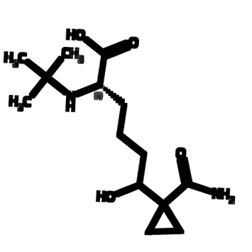 CC(C)(C)N[C@@H](CCCC(O)C1(C(N)=O)CC1)C(=O)O